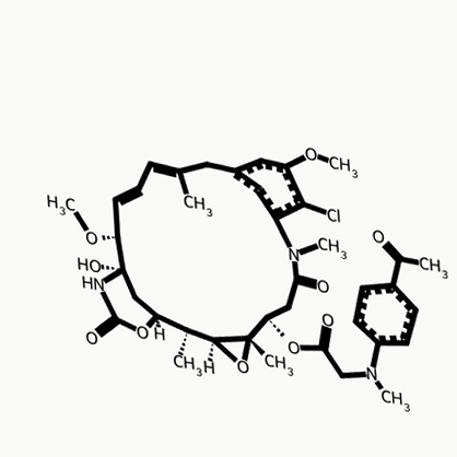 COc1cc2cc(c1Cl)N(C)C(=O)C[C@H](OC(=O)CN(C)c1ccc(C(C)=O)cc1)[C@]1(C)O[C@H]1[C@H](C)[C@@H]1C[C@@](O)(NC(=O)O1)[C@H](OC)/C=C/C=C(\C)C2